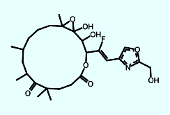 CC1CCCC2(C)OC2(O)C(O)C(C(F)=Cc2coc(CO)n2)OC(=O)CCC(C)(C)C(=O)C(C)C1